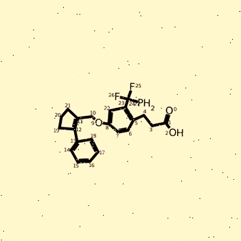 O=C(O)CCc1ccc(OCC2=C(c3ccccc3)CCC2)cc1C(F)(F)P